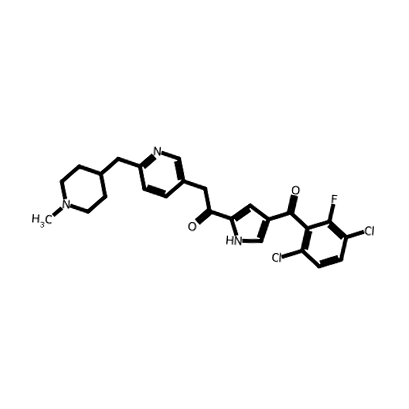 CN1CCC(Cc2ccc(CC(=O)c3cc(C(=O)c4c(Cl)ccc(Cl)c4F)c[nH]3)cn2)CC1